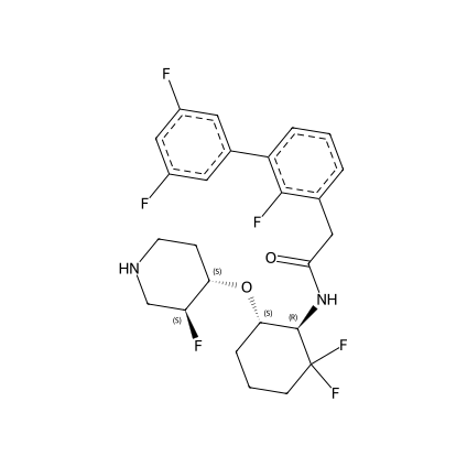 O=C(Cc1cccc(-c2cc(F)cc(F)c2)c1F)N[C@@H]1[C@@H](O[C@H]2CCNC[C@@H]2F)CCCC1(F)F